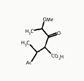 COC(C)C(=O)C(C(=O)O)C(C)C(C)=O